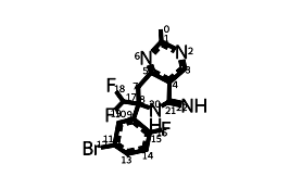 Cc1ncc2c(n1)CC(c1cc(Br)ccc1F)(C(F)F)NC2=N